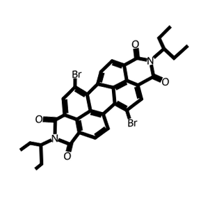 CCC(CC)N1C(=O)c2ccc3c4c(Br)cc5c6c(ccc(c7c(Br)cc(c2c37)C1=O)c64)C(=O)N(C(CC)CC)C5=O